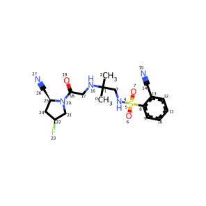 CC(C)(CNS(=O)(=O)c1ccccc1C#N)NCC(=O)N1C[C@@H](F)C[C@H]1C#N